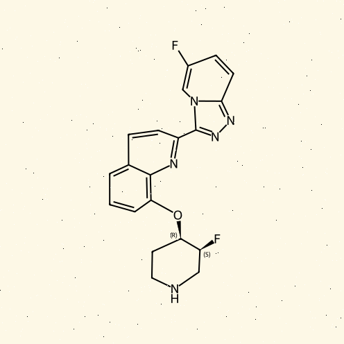 Fc1ccc2nnc(-c3ccc4cccc(O[C@@H]5CCNC[C@@H]5F)c4n3)n2c1